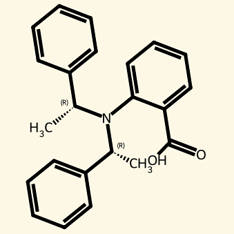 C[C@H](c1ccccc1)N(c1ccccc1C(=O)O)[C@H](C)c1ccccc1